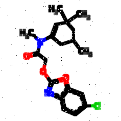 CC1CC(N(C)C(=O)COc2nc3ccc(Cl)cc3o2)=CC(C)(C)C1